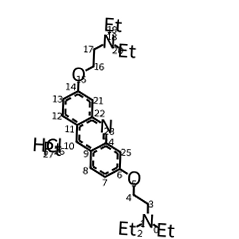 CCN(CC)CCOc1ccc2cc3ccc(OCCN(CC)CC)cc3nc2c1.Cl.[Pt]